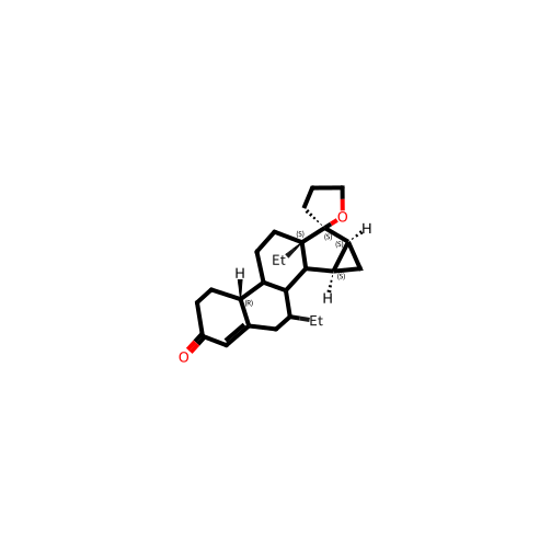 CCC1CC2=CC(=O)CC[C@@H]2C2CC[C@@]3(CC)C(C12)[C@@H]1C[C@@H]1[C@@]31CCCO1